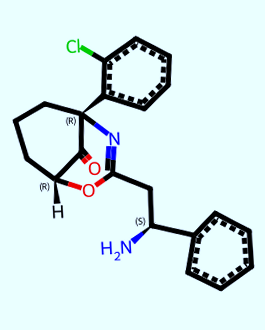 N[C@@H](CC1=N[C@@]2(c3ccccc3Cl)CCC[C@@H](O1)C2=O)c1ccccc1